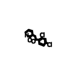 O=C(CC1C=CC=NC1=O)c1ccc(Cl)cc1Cl